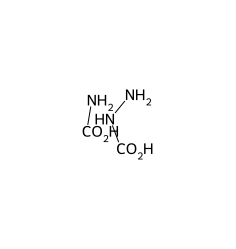 NC(=O)O.NNC(=O)O